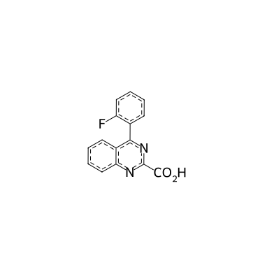 O=C(O)c1nc(-c2ccccc2F)c2ccccc2n1